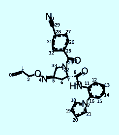 C=CCON=C1C[C@@H](C(=O)Nc2ccccc2-n2cccc2)N(C(=O)c2ccc(C#N)cc2)C1